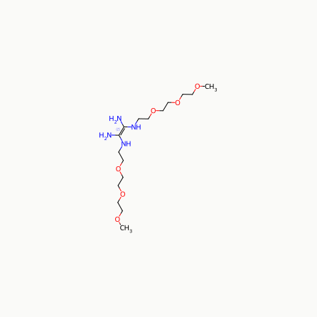 COCCOCCOCCN/C(N)=C(/N)NCCOCCOCCOC